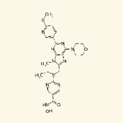 CCN(Cc1nc2c(N3CCOCC3)nc(-c3ccc(OC)nc3)nc2n1C)c1ncc(C(=O)NO)cn1